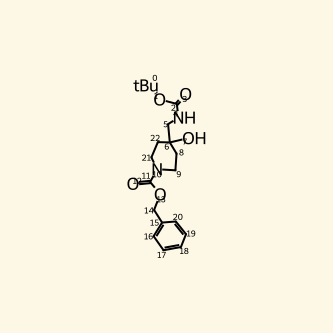 CC(C)(C)OC(=O)NCC1(O)CCN(C(=O)OCc2ccccc2)CC1